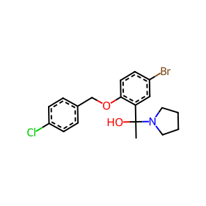 CC(O)(c1cc(Br)ccc1OCc1ccc(Cl)cc1)N1CCCC1